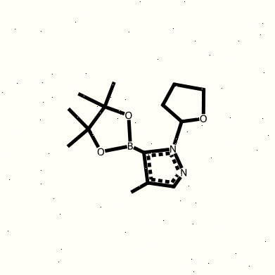 Cc1cnn(C2CCCO2)c1B1OC(C)(C)C(C)(C)O1